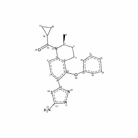 C[C@H]1CCc2c(ccc(-c3nnc(N)s3)c2Oc2ccccc2)N1C(=O)C1CC1